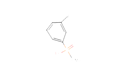 COP(=O)(O)c1cccc(C(C)C)c1